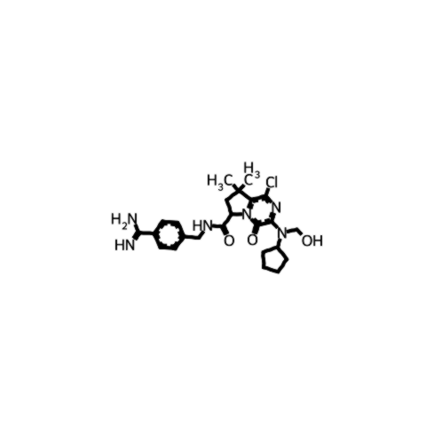 CC1(C)CC(C(=O)NCc2ccc(C(=N)N)cc2)n2c1c(Cl)nc(N(CO)C1CCCC1)c2=O